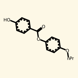 CCCOc1ccc(OC(=O)c2ccc(O)cc2)cc1